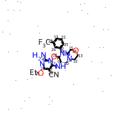 CCOc1nc(N)nc(N[C@@H](CN2CCOCC2)C(=O)Nc2cccc(C(F)(F)F)c2)c1C#N